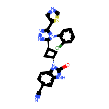 N#Cc1ccc2c(c1)[nH]c(=O)n2[C@H]1C[C@H](c2nnc(-c3cncs3)n2-c2ccccc2Cl)C1